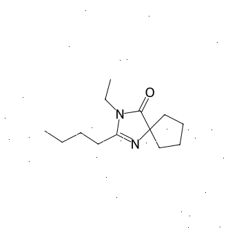 CCCCC1=NC2(CCCC2)C(=O)N1CC